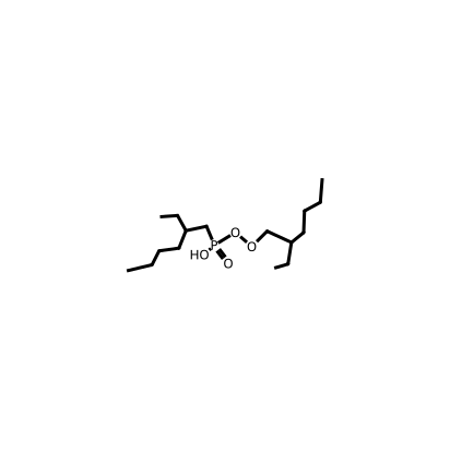 CCCCC(CC)COOP(=O)(O)CC(CC)CCCC